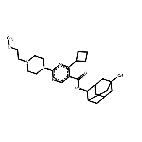 COCCN1CCN(c2ncc(C(=O)NC3C4CC5CC3CC(O)(C5)C4)c(C3CCC3)n2)CC1